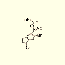 CCCC(F)ON(C(C)=O)c1cc2c(cc1Br)C(=O)CC2